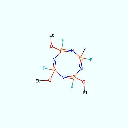 CCOP1(F)=NP(C)(F)=NP(F)(OCC)=NP(F)(OCC)=N1